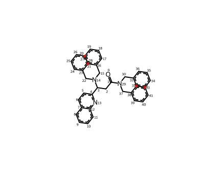 O=C(CC(c1ccc2ccccc2n1)N(Cc1ccccc1)Cc1ccccc1)N(Cc1ccccc1)Cc1ccccc1